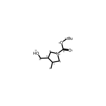 CC1CN(C(=O)OC(C)(C)C)CC1CO